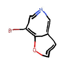 Brc1cncc2ccoc12